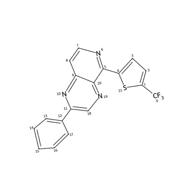 FC(F)(F)c1ccc(-c2nccc3nc(-c4ccccc4)cnc23)s1